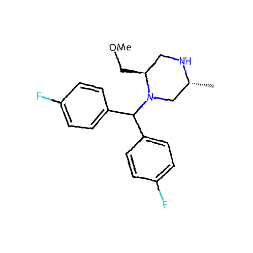 COC[C@H]1CN[C@H](C)CN1C(c1ccc(F)cc1)c1ccc(F)cc1